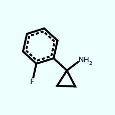 NC1(c2ccccc2F)CC1